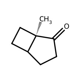 C[C@@]12CCC1CCC2=O